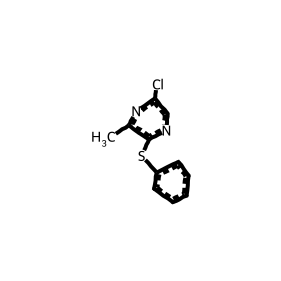 Cc1nc(Cl)cnc1Sc1ccccc1